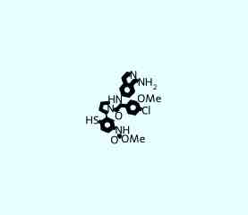 COC(=O)Nc1ccc(S)c([C@H]2CCCN2C(=O)[C@H](Nc2ccc3c(N)nccc3c2)c2ccc(Cl)c(OC)c2)c1